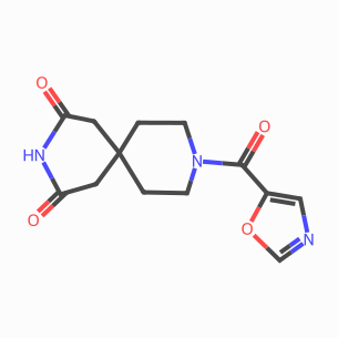 O=C1CC2(CCN(C(=O)c3cnco3)CC2)CC(=O)N1